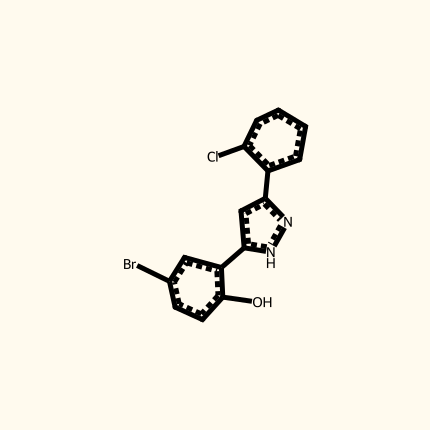 Oc1ccc(Br)cc1-c1cc(-c2ccccc2Cl)n[nH]1